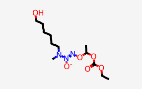 CCOC(=O)OC(C)ON=[N+]([O-])N(C)CCCCCCO